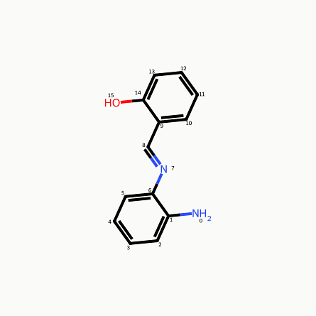 Nc1ccccc1/N=C/c1ccccc1O